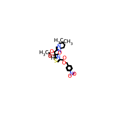 CC(=O)OC(c1cn2c(n1)CCC(C)(C)C2)C1(Br)C(=O)N2C(C(=O)OCc3ccc([N+](=O)[O-])cc3)=CS[C@@H]21